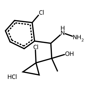 CC(O)(C(NN)c1ccccc1Cl)C1(Cl)CC1.Cl